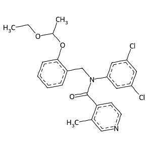 CCOC(C)Oc1ccccc1CN(C(=O)c1ccncc1C)c1cc(Cl)cc(Cl)c1